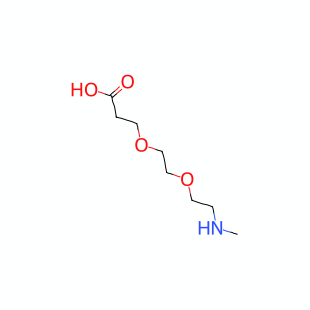 CNCCOCCOCCC(=O)O